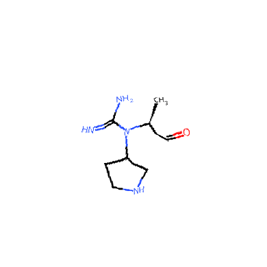 C[C@@H]([C]=O)N(C(=N)N)C1CCNC1